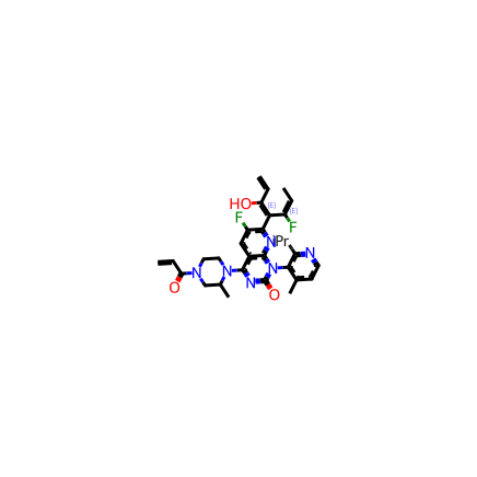 C=CC(=O)N1CCN(c2nc(=O)n(-c3c(C)ccnc3C(C)C)c3nc(C(/C(F)=C\C)=C(\O)C=C)c(F)cc23)C(C)C1